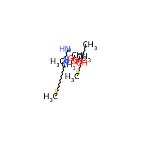 CCC(=O)O.CCC(=O)O.CCCCCCCCCCCCCCSCC.CCCCCCCCCCCCCCSCC.Cc1nccn1CCCC1CCN1